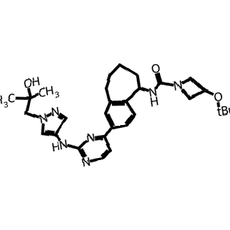 CC(C)(O)Cn1cc(Nc2nccc(-c3ccc4c(c3)CCCCC4NC(=O)N3CC(OC(C)(C)C)C3)n2)cn1